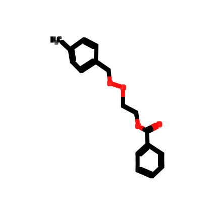 Cc1ccc(COOCCOC(=O)c2ccccc2)cc1